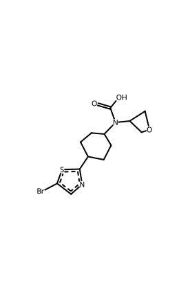 O=C(O)N(C1CCC(c2ncc(Br)s2)CC1)C1COC1